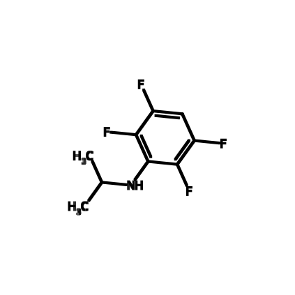 CC(C)Nc1c(F)c(F)cc(F)c1F